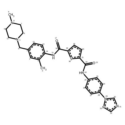 Cc1cc(CN2CCN(C)CC2)ccc1NC(=O)c1ccc(C(=O)Nc2ccc(-n3cncn3)cc2)s1